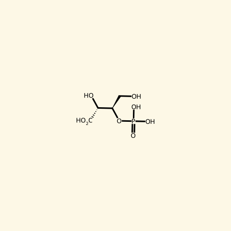 O=C(O)[C@H](O)[C@@H](CO)OP(=O)(O)O